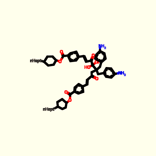 CCCCCCCC1CCC(OC(=O)c2ccc(C=CC(=O)CC(Cc3ccc(N)cc3)(Cc3ccc(N)cc3)C(O)(O)C(=O)C=Cc3ccc(C(=O)OC4CCC(CCCCCCC)CC4)cc3)cc2)CC1